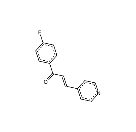 O=C(C=Cc1ccncc1)c1ccc(F)cc1